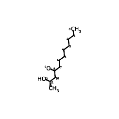 CCCCCCCCC([O])CC(C)O